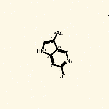 CC(=O)c1c[nH]c2cc(Cl)ncc12